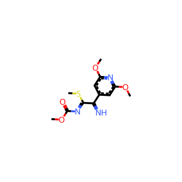 COC(=O)N=C(SC)C(=N)c1cc(OC)nc(OC)c1